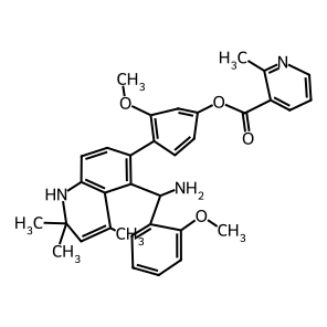 COc1cc(OC(=O)c2cccnc2C)ccc1-c1ccc2c(c1C(N)c1ccccc1OC)C(C)=CC(C)(C)N2